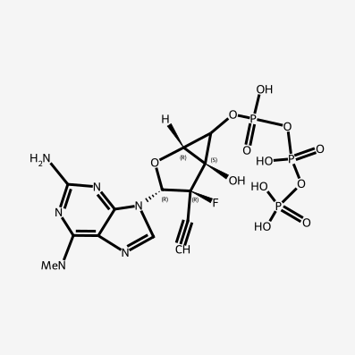 C#C[C@]1(F)[C@H](n2cnc3c(NC)nc(N)nc32)O[C@@H]2C(OP(=O)(O)OP(=O)(O)OP(=O)(O)O)[C@@]21O